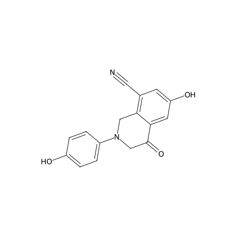 N#Cc1cc(O)cc2c1CN(c1ccc(O)cc1)CC2=O